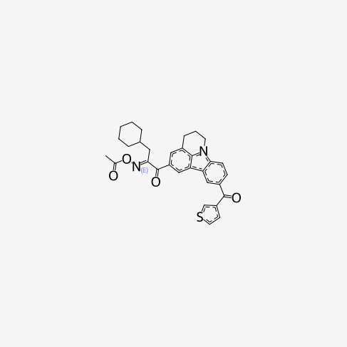 CC(=O)O/N=C(\CC1CCCCC1)C(=O)c1cc2c3c(c1)c1cc(C(=O)c4ccsc4)ccc1n3CCC2